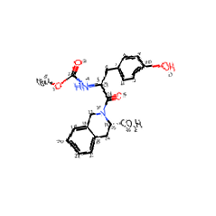 CC(C)(C)OC(=O)N[C@@H](Cc1ccc(O)cc1)C(=O)N1Cc2ccccc2C[C@H]1C(=O)O